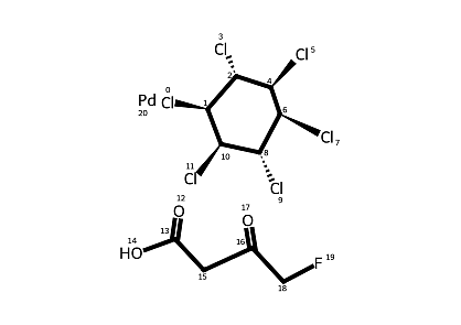 Cl[C@H]1[C@H](Cl)[C@@H](Cl)[C@@H](Cl)[C@H](Cl)[C@H]1Cl.O=C(O)CC(=O)CF.[Pd]